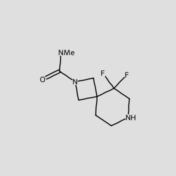 CNC(=O)N1CC2(CCNCC2(F)F)C1